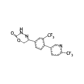 O=C1NN=C(c2ccc(-c3ccc(C(F)(F)F)nc3)c(C(F)(F)F)c2)CO1